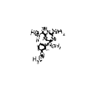 COc1cccc(N(C)c2nc(N)nc(C(=N)NO)n2)c1